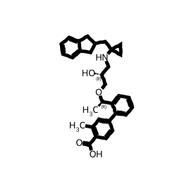 Cc1cc(-c2ccccc2[C@@H](C)OC[C@H](O)CNC2(CC3Cc4ccccc4C3)CC2)ccc1C(=O)O